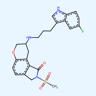 CS(=O)(=O)N1Cc2ccc3c(c2C1=O)CC(NCCCc1c[nH]c2ccc(F)cc12)CO3